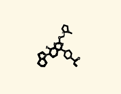 C=CC(=O)N1CCN(c2nc(OC[C@@H]3CCCN3C)nc3c(F)c(-n4ccc5ccccc54)ccc23)CC1